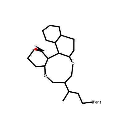 CCCC(C)CCC(C)C1COC2CCC3CCCCC3C2C2C(CCC3CCCCC32)OC1